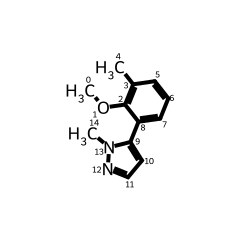 COc1c(C)cccc1-c1ccnn1C